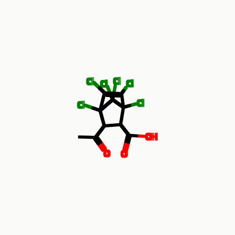 CC(=O)C1C(C(=O)O)C2(Cl)C(Cl)=C(Cl)C1(Cl)C2(Cl)Cl